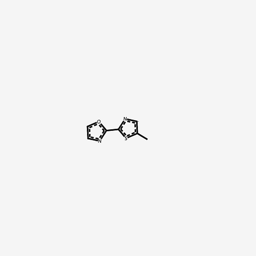 Cc1[c]nc(-c2ncco2)s1